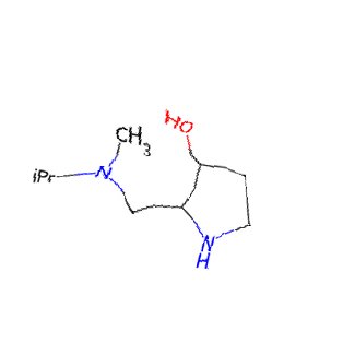 CC(C)N(C)CC1NCCC1O